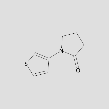 O=C1CCCN1c1ccsc1